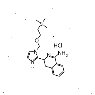 C[Si](C)(C)CCOCn1ccnc1C1Cc2ccccc2C(N)=N1.Cl